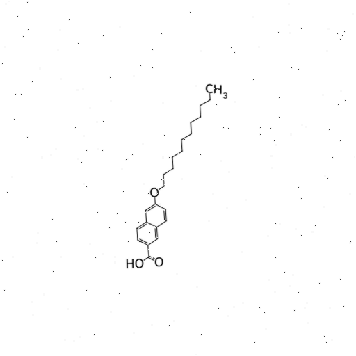 CCCCCCCCCCCCOc1ccc2cc(C(=O)O)ccc2c1